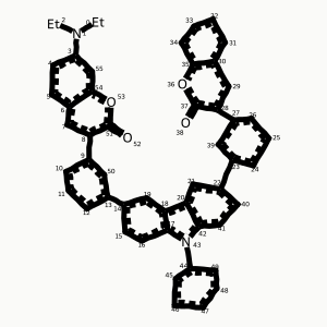 CCN(CC)c1ccc2cc(-c3cccc(-c4ccc5c(c4)c4cc(-c6cccc(-c7cc8ccccc8oc7=O)c6)ccc4n5-c4ccccc4)c3)c(=O)oc2c1